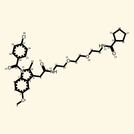 COc1ccc2c(c1)c(CC(=O)NCCOCCOCCNC(=O)C1CCCC1)c(C)n2C(=O)c1ccc(Cl)cc1